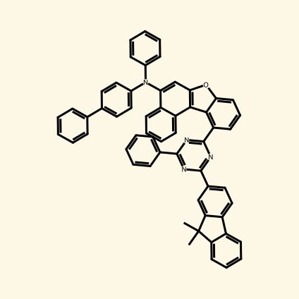 CC1(C)c2ccccc2-c2ccc(-c3nc(-c4ccccc4)nc(-c4cccc5oc6cc(N(c7ccccc7)c7ccc(-c8ccccc8)cc7)c7ccccc7c6c45)n3)cc21